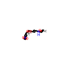 CCC(C)(COCCC1CCC(CCCNC(=O)CC(C)(C)CC(C)(C)C(C)=O)CC1)OCCC(C)(CC)C1CCC(N2C(=O)C=CC2=O)CC1